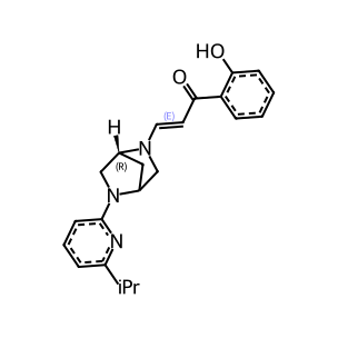 CC(C)c1cccc(N2C[C@H]3CC2CN3/C=C/C(=O)c2ccccc2O)n1